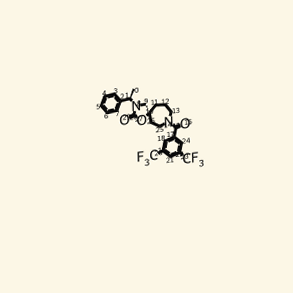 C[C@H](c1ccccc1)N1C[C@@]2(CCCN(C(=O)c3cc(C(F)(F)F)cc(C(F)(F)F)c3)CC2)OC1=O